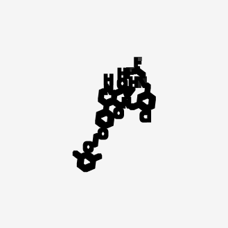 Cc1cccc(C)c1OCCOc1ccc(C2=C(C(=O)N(Cc3cc(CNCC(F)F)ccc3Cl)C3CC3)C(CO)NCC2)cc1